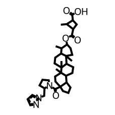 CC1C(C(=O)O)CC1C(=O)OC1CCC2(C)C(CCC3(C)C2CCC2C4CCCC4(C(=O)N4CCCC4Cn4cccn4)CCC23C)C1C